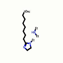 CCCCCCCCCCCCCCCCCC1=NCCN1CC.CCNCC